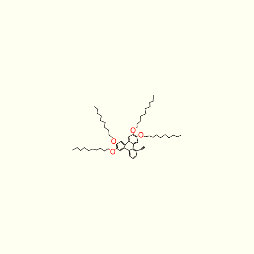 C#Cc1cccc2c3cc(OCCCCCCCCCC)c(OCCCCCCCCCC)cc3c3cc(OCCCCCCCCCC)c(OCCCCCCCCCC)cc3c12